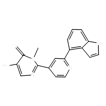 Cn1c(-c2ccnc(-c3cccc4[nH]ccc34)c2)ncc(O)c1=O